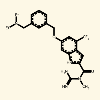 CCN(CC)Cc1cccc(COc2cc(C(F)(F)F)c3cc(C(=O)N(C)C(=N)N)[nH]c3c2)c1